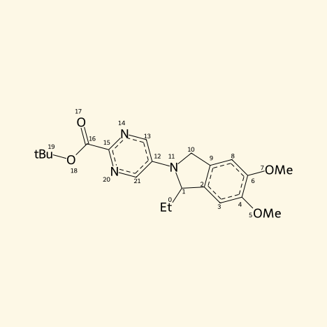 CCC1c2cc(OC)c(OC)cc2CN1c1cnc(C(=O)OC(C)(C)C)nc1